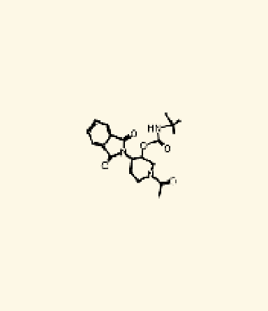 CC(=O)N1CCC(N2C(=O)c3ccccc3C2=O)C(OC(=O)NC(C)(C)C)C1